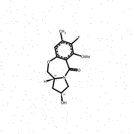 COc1c(F)c(C)cc2c1C(=O)N1C[C@@H](O)C[C@@H]1CO2